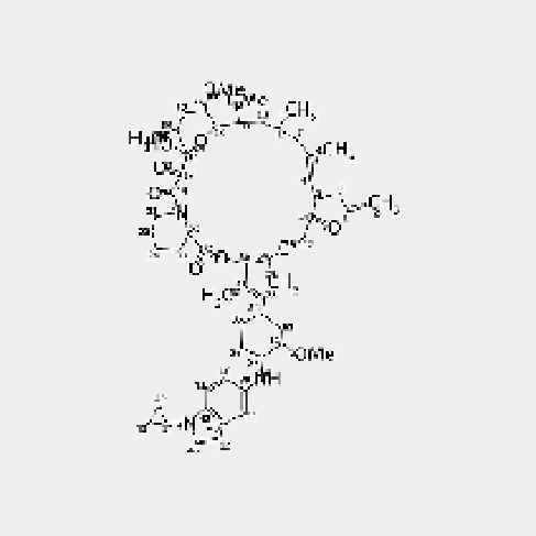 C=CCC1/C=C(\C)CC(C)CC(OC)C2OC(O)(C(=O)C(=O)N3CCCCC3C(=O)OC(C(C)=CC3CCC(Nc4ccc5c(ccn5C5CC5)c4)C(OC)C3)C(C)CCC1=O)C(C)CC2OC